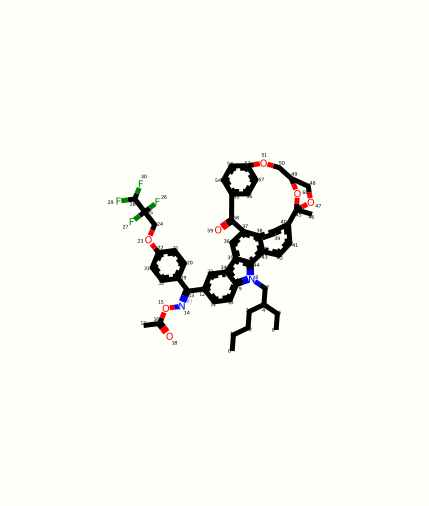 CCCCC(CC)Cn1c2ccc(/C(=N/OC(C)=O)c3ccc(OCC(F)(F)C(F)F)cc3)cc2c2cc3c4cc(ccc4c21)C1(C)OCC(COc2ccc(cc2)C3=O)O1